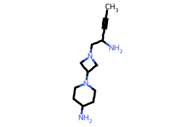 CC#CC(N)CN1CC(N2CCC(N)CC2)C1